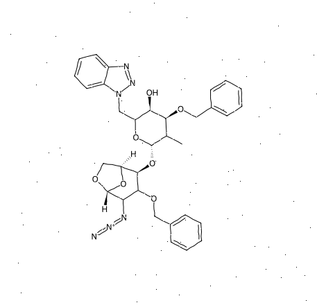 CC1[C@H](O[C@H]2C(OCc3ccccc3)C(N=[N+]=[N-])[C@@H]3OC[C@@H]2O3)OC(Cn2nnc3ccccc32)[C@@H](O)[C@H]1OCc1ccccc1